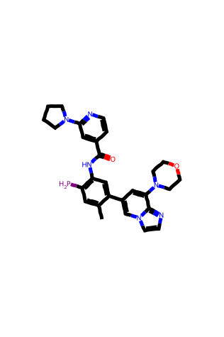 Cc1cc(P)c(NC(=O)c2ccnc(N3CCCC3)c2)cc1-c1cc(N2CCOCC2)c2nccn2c1